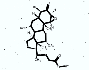 CC(=O)O[C@H]1CC2C([C@H](OC(C)=O)C[C@@H]3[C@@H](Br)C(=O)[C@H]4O[C@H]4[C@]23C)[C@@H]2CC[C@H]([C@H](C)CCC(=O)OC(C)C)[C@@]12C